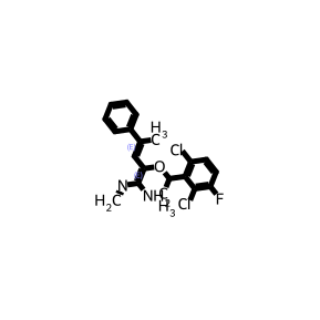 C=N/C(N)=C(\C=C(/C)c1ccccc1)OC(C)c1c(Cl)ccc(F)c1Cl